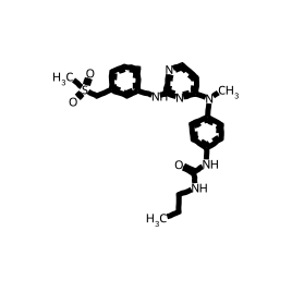 CCCNC(=O)Nc1ccc(N(C)c2ccnc(Nc3cccc(CS(C)(=O)=O)c3)n2)cc1